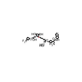 Cl.Cl.NCC(C(=O)Nc1ccc2cnccc2c1)c1ccc(COC(=O)CCCC=CC[C@@H]2[C@H](C=C[C@@H](O)COc3cccc(C(F)(F)F)c3)[C@H](O)C[C@H]2O)cc1